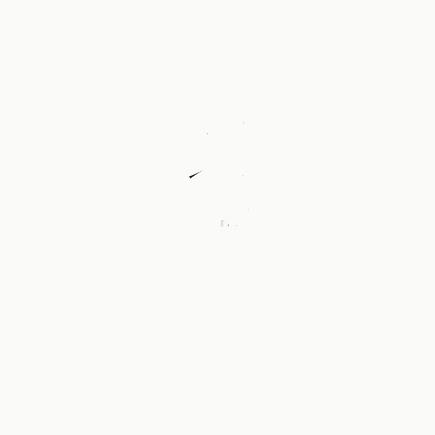 CC(C)CNC[C@H]1CCC[C@@H]1O